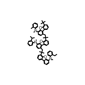 CCc1ccccc1N(C)c1cccc2c1oc1c(C(C)(C)Cc3ccc(N(C)c4ccccc4C(C)C)c4oc5c(C(C)(C)Cc6ccc(N(C)c7ccccc7C)c7oc8c(C(C)(C)C)cccc8c67)cccc5c34)cccc12